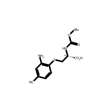 CC(C)(C)OC(=O)N[C@@H](CSc1ccc(C#N)cc1N)C(=O)O